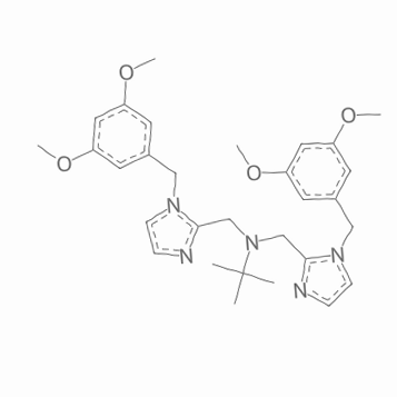 COc1cc(Cn2ccnc2CN(Cc2nccn2Cc2cc(OC)cc(OC)c2)C(C)(C)C)cc(OC)c1